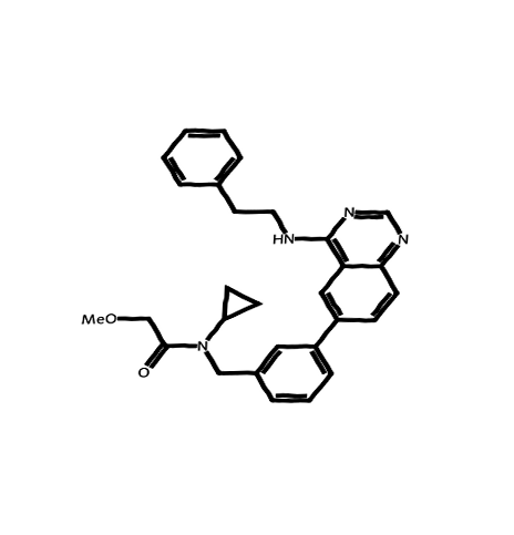 COCC(=O)N(Cc1cccc(-c2ccc3ncnc(NCCc4ccccc4)c3c2)c1)C1CC1